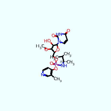 COC1C(COP(=O)(N[C@@H](C)C(C)C)Oc2ccncc2C)OC(n2ccc(=O)[nH]c2=O)C1O